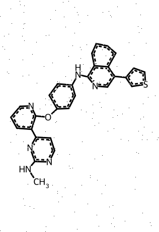 CNc1nccc(-c2cccnc2Oc2ccc(Nc3ncc(-c4ccsc4)c4ccccc34)cc2)n1